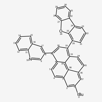 CC(C)(C)c1cc2ccc3c(-c4cnc5ccccc5c4)cc(-c4cccc5c4oc4ccccc45)c4ccc(c1)c2c34